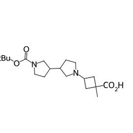 CC(C)(C)OC(=O)N1CCC(C2CCN(C3CC(C)(C(=O)O)C3)C2)C1